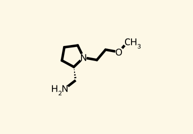 COCCN1CCC[C@H]1CN